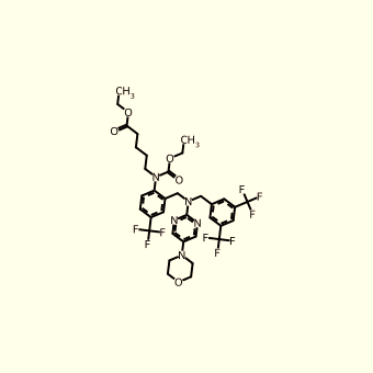 CCOC(=O)CCCCN(C(=O)OCC)c1ccc(C(F)(F)F)cc1CN(Cc1cc(C(F)(F)F)cc(C(F)(F)F)c1)c1ncc(N2CCOCC2)cn1